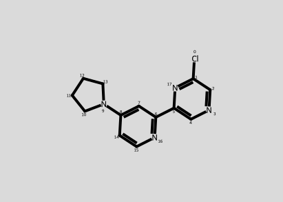 Clc1cncc(-c2cc(N3CCCC3)ccn2)n1